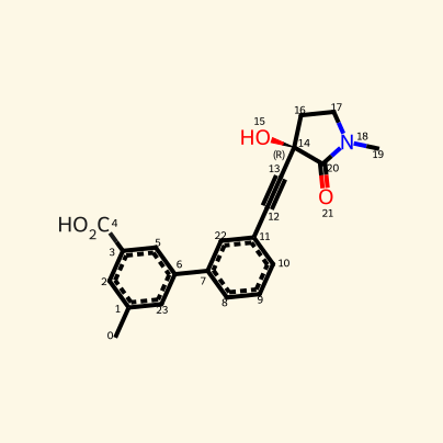 Cc1cc(C(=O)O)cc(-c2cccc(C#C[C@]3(O)CCN(C)C3=O)c2)c1